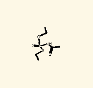 CCOP(=O)(NC(C)=O)SCC